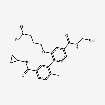 CCN(CC)CCCOc1cc(C(=O)NCC(C)(C)C)ccc1-c1cc(C(=O)NC2CC2)ccc1C